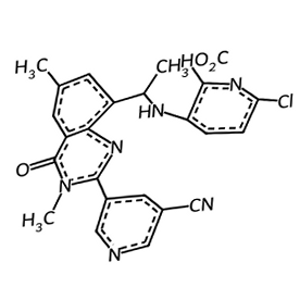 Cc1cc(C(C)Nc2ccc(Cl)nc2C(=O)O)c2nc(-c3cncc(C#N)c3)n(C)c(=O)c2c1